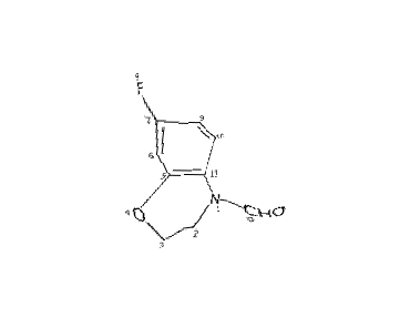 O=CN1CCOc2cc(F)ccc21